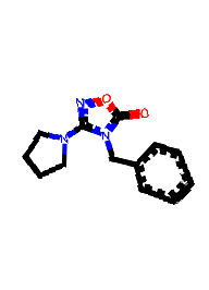 O=c1onc(N2CCCC2)n1Cc1ccccc1